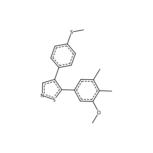 COc1cc(-c2sncc2-c2ccc(SC)cc2)cc(C)c1C